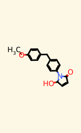 COc1ccc(Cc2ccc(N3C(=O)C=CC3O)cc2)cc1